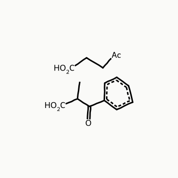 CC(=O)CCC(=O)O.CC(C(=O)O)C(=O)c1ccccc1